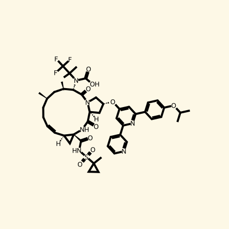 CC(C)Oc1ccc(-c2cc(O[C@@H]3C[C@H]4C(=O)N[C@]5(C(=O)NS(=O)(=O)C6(C)CC6)C[C@H]5/C=C\CC[C@@H](C)C[C@@H](C)[C@H](N(C(=O)O)C(C)(C)C(F)(F)F)C(=O)N4C3)cc(-c3cccnc3)n2)cc1